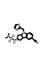 CN(C)S(=O)(=O)N[C@@H]1CC2c3cc(C#N)ccc3N(Cc3nccs3)C2C1